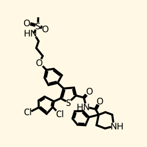 CS(=O)(=O)NCCCOc1ccc(-c2cc(C(=O)NC(=O)C3(c4ccccc4)CCNCC3)sc2-c2ccc(Cl)cc2Cl)cc1